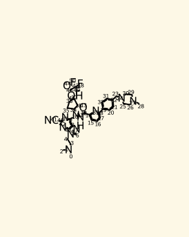 CN(C)CCn1cnc2c(N(NC(=O)c3cccc(-c4ccc(CN5CCN(C)CC5)cc4)n3)C3CCCC3)nc(C#N)nc21.O=C(O)C(F)(F)F